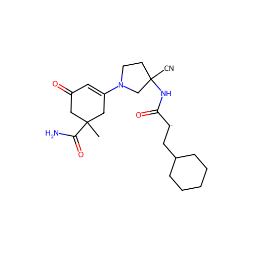 CC1(C(N)=O)CC(=O)C=C(N2CCC(C#N)(NC(=O)[CH]CC3CCCCC3)C2)C1